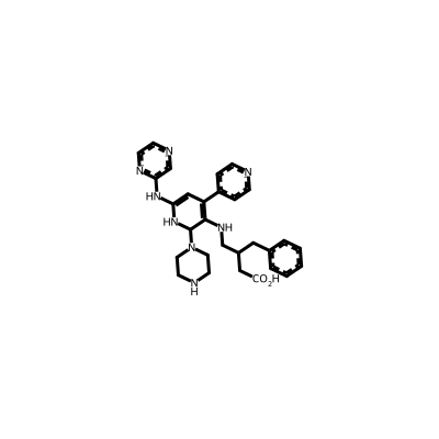 O=C(O)CC(CNC1=C(c2ccncc2)C=C(Nc2cnccn2)NC1N1CCNCC1)Cc1ccccc1